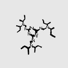 CCC(C)N(C=Nc1nc(N=CN(C(C)CC)C(C)CC)nc(N=CN(C(C)CC)C(C)CC)n1)C(C)CC